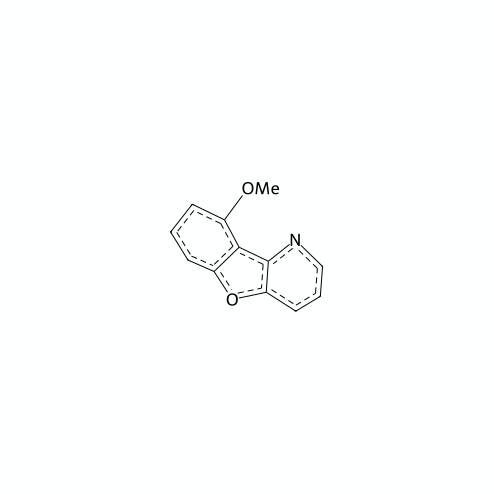 COc1cccc2oc3cccnc3c12